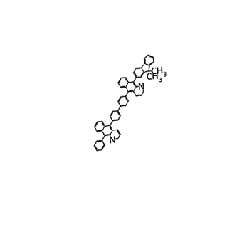 CC1(C)c2ccccc2-c2ccc(-c3c4ccccc4c(-c4ccc(-c5ccc(-c6c7ccccc7c(-c7ccccc7)c7ncccc67)cc5)cc4)c4cccnc34)cc21